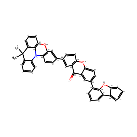 CC1(C)c2ccccc2N2c3ccc(-c4ccc5oc6ccc(-c7cccc8c7oc7ccccc78)cc6c(=O)c5c4)cc3Oc3cccc1c32